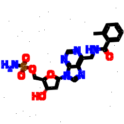 Cc1ccccc1C(=O)NCc1ncnc2c1ncn2[C@H]1C[C@H](O)[C@@H](COS(N)(=O)=O)O1